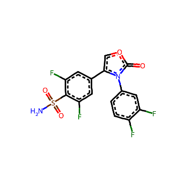 NS(=O)(=O)c1c(F)cc(-c2coc(=O)n2-c2ccc(F)c(F)c2)cc1F